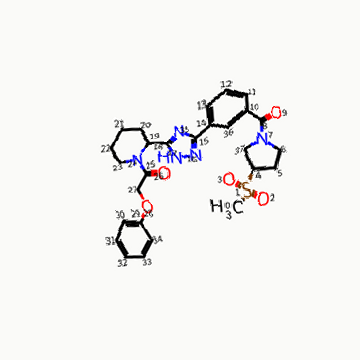 CS(=O)(=O)[C@@H]1CCN(C(=O)c2cccc(-c3n[nH]c(C4CCCCN4C(=O)COc4ccccc4)n3)c2)C1